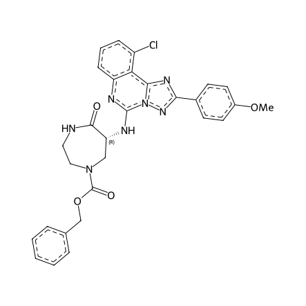 COc1ccc(-c2nc3c4c(Cl)cccc4nc(N[C@@H]4CN(C(=O)OCc5ccccc5)CCNC4=O)n3n2)cc1